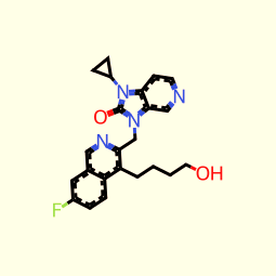 O=c1n(Cc2ncc3cc(F)ccc3c2CCCCO)c2cnccc2n1C1CC1